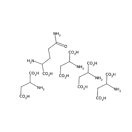 NC(=O)CCC(N)C(=O)O.NC(CC(=O)O)C(=O)O.NC(CC(=O)O)C(=O)O.NC(CC(=O)O)C(=O)O.NC(CC(=O)O)C(=O)O